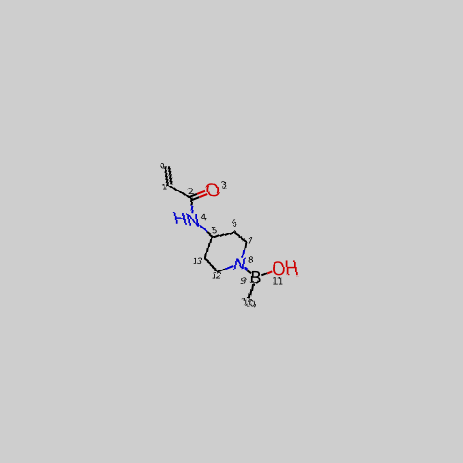 C=CC(=O)NC1CCN(B(C)O)CC1